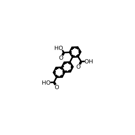 O=C(O)c1ccc2cc(-c3c(C(=O)O)cccc3C(=O)O)ccc2c1